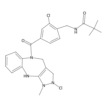 CN1C2=C(CN(C(=O)c3ccc(CNC(=O)C(C)(C)C)c(Cl)c3)c3ccccc3N2)CN1Cl